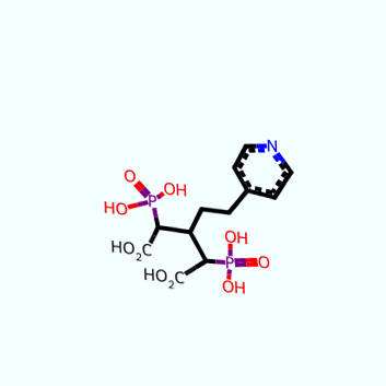 O=C(O)C(C(CCc1ccncc1)C(C(=O)O)P(=O)(O)O)P(=O)(O)O